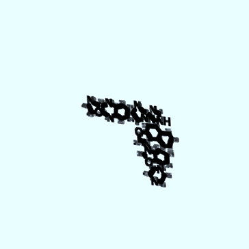 c1c[nH]cn1.c1c[nH]cn1.c1ccc2c(c1)ccc1ocnc12.c1ccc2nccnc2c1.c1ccc2ocnc2c1.c1cnccn1.c1cocn1